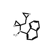 CN(c1cccc2ccccc12)C1(CC2CO2)CO1